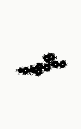 CC(C)(C)c1ccc(-c2nc3c(o2)-c2cccc4c(-c5cccc(N(c6ccc(-c7ccccc7)cc6)c6cccc7ccccc67)c5)ccc-3c24)cc1